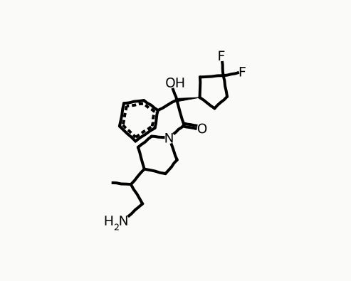 CC(CN)C1CCN(C(=O)C(O)(c2ccccc2)[C@@H]2CCC(F)(F)C2)CC1